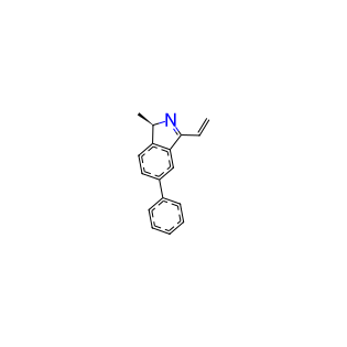 C=CC1=N[C@H](C)c2ccc(-c3ccccc3)cc21